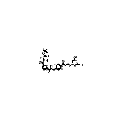 CC(C)(C)OC(=O)NNC(=O)c1ccc(C(=O)NCc2ccc(C(=O)NCCN(CCO)CCO)cc2)s1